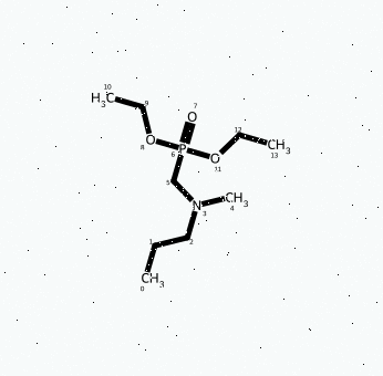 CCCN(C)CP(=O)(OCC)OCC